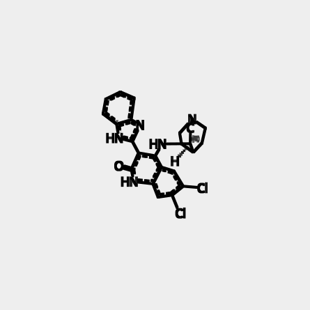 O=c1[nH]c2cc(Cl)c(Cl)cc2c(N[C@H]2CN3CCC2CC3)c1-c1nc2ccccc2[nH]1